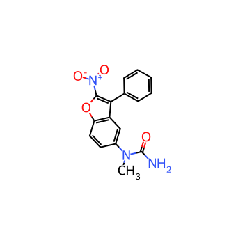 CN(C(N)=O)c1ccc2oc([N+](=O)[O-])c(-c3ccccc3)c2c1